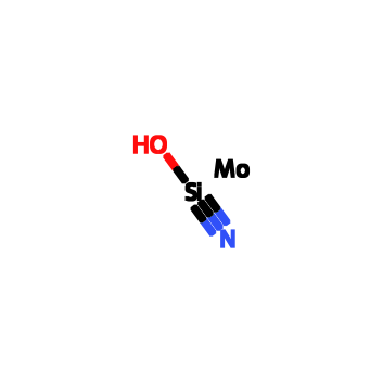 N#[Si]O.[Mo]